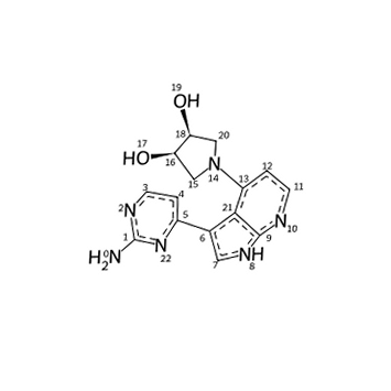 Nc1nccc(-c2c[nH]c3nccc(N4C[C@@H](O)[C@@H](O)C4)c23)n1